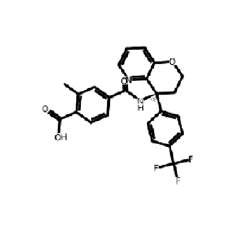 Cc1cc(C(=O)N[C@]2(c3ccc(C(F)(F)F)cc3)CCOc3cccnc32)ccc1C(=O)O